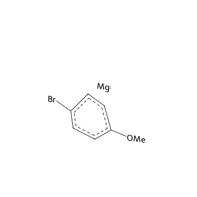 COc1ccc(Br)cc1.[Mg]